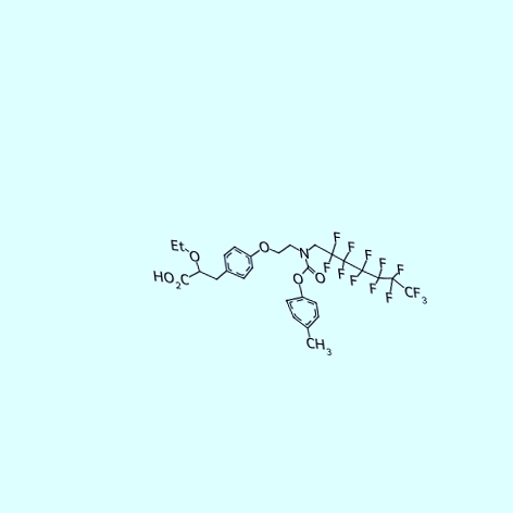 CCOC(Cc1ccc(OCCN(CC(F)(F)C(F)(F)C(F)(F)C(F)(F)C(F)(F)C(F)(F)F)C(=O)Oc2ccc(C)cc2)cc1)C(=O)O